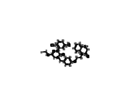 CCOC(=O)CN(Cc1ccc(OCCN2C(=O)CSc3ccccc32)cc1)C(=O)Oc1cc(Cl)ccc1Cl